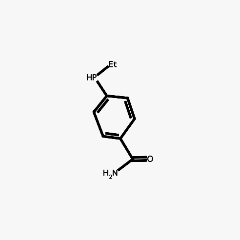 CCPc1ccc(C(N)=O)cc1